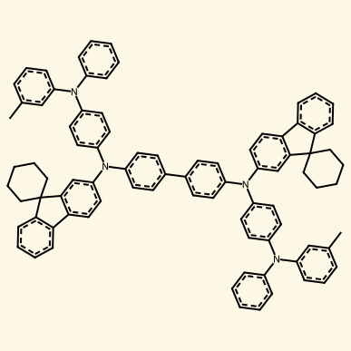 Cc1cccc(N(c2ccccc2)c2ccc(N(c3ccc(-c4ccc(N(c5ccc(N(c6ccccc6)c6cccc(C)c6)cc5)c5ccc6c(c5)C5(CCCCC5)c5ccccc5-6)cc4)cc3)c3ccc4c(c3)C3(CCCCC3)c3ccccc3-4)cc2)c1